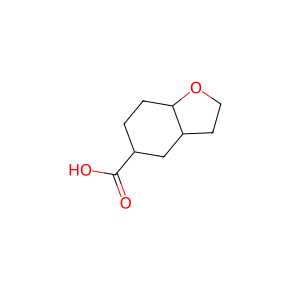 O=C(O)C1CCC2OCCC2C1